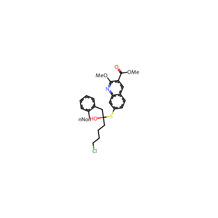 CCCCCCCCCc1ccccc1C[C@@](O)(CCCCCl)Sc1ccc2cc(C(=O)OC)c(OC)nc2c1